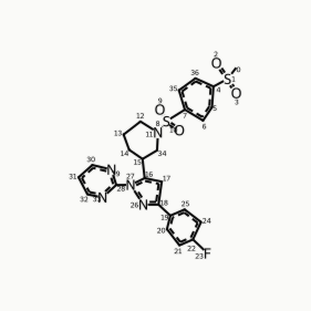 CS(=O)(=O)c1ccc(S(=O)(=O)N2CCCC(c3cc(-c4ccc(F)cc4)nn3-c3ncccn3)C2)cc1